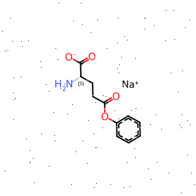 N[C@@H](CCC(=O)Oc1ccccc1)C(=O)[O-].[Na+]